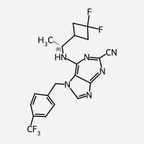 C[C@@H](Nc1nc(C#N)nc2ncn(Cc3ccc(C(F)(F)F)cc3)c12)C1CC(F)(F)C1